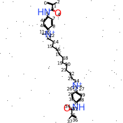 C=C(C)C(=O)Nc1ccc([N+](C)(C)CCCCCCCCCCCC[N+](C)(C)c2ccc(NC(=O)C(=C)C)cc2)cc1